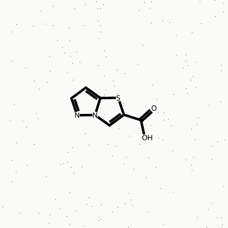 O=C(O)c1cn2nccc2s1